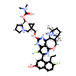 CCc1c(F)ccc2cc(O)cc(-c3nc4c5c(nc(OCC6(CN7CCC[C@H]7COC(=O)N(C)C)CC6)nc5c3F)C3N[C@@H]5CC[C@H](N5)[C@@H]3CO4)c12